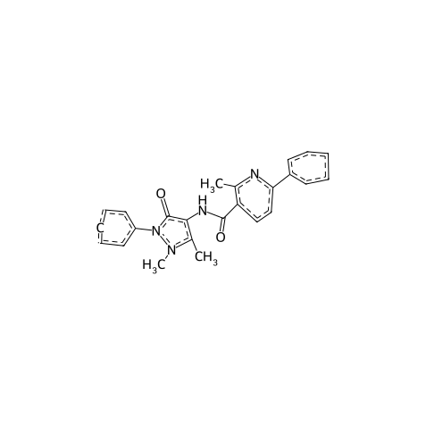 Cc1nc(-c2ccccc2)ccc1C(=O)Nc1c(C)n(C)n(-c2ccccc2)c1=O